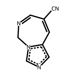 N#CC1=Cc2cncn2CN=C1